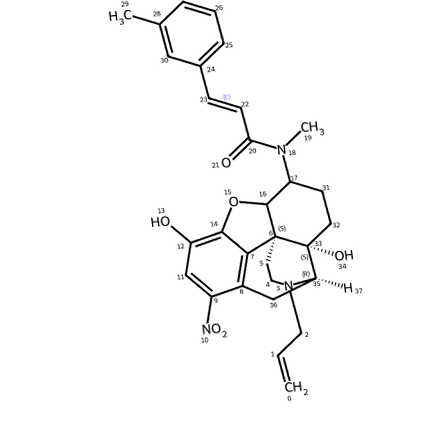 C=CCN1CC[C@]23c4c5c([N+](=O)[O-])cc(O)c4OC2C(N(C)C(=O)/C=C/c2cccc(C)c2)CC[C@@]3(O)[C@H]1C5